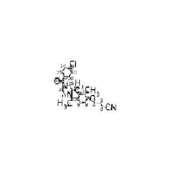 Cc1c(OCCCC#N)ccc([C@@H](C)N2CCN(C(=O)c3ccc(Cl)cc3)CC2)c1C